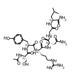 CC(=O)N[C@@H](CO)C(=O)N[C@@H](Cc1ccc(O)cc1)C(=O)N[C@@H](CCCNC(=N)N)C(=O)N[C@@H](CC(N)=O)C(=O)NCC(=O)N[C@@H](CC(C)C)C(N)=O